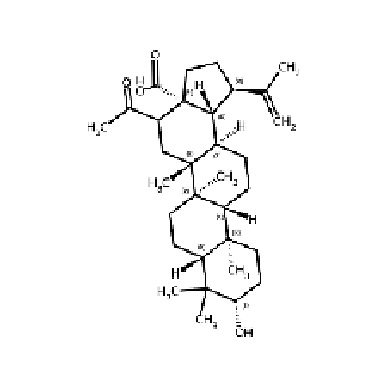 C=C(C)[C@@H]1CC[C@]2(C(=O)O)C(C(C)=O)C[C@]3(C)[C@H](CC[C@@H]4[C@@]5(C)CC[C@H](O)C(C)(C)[C@@H]5CC[C@]43C)[C@@H]12